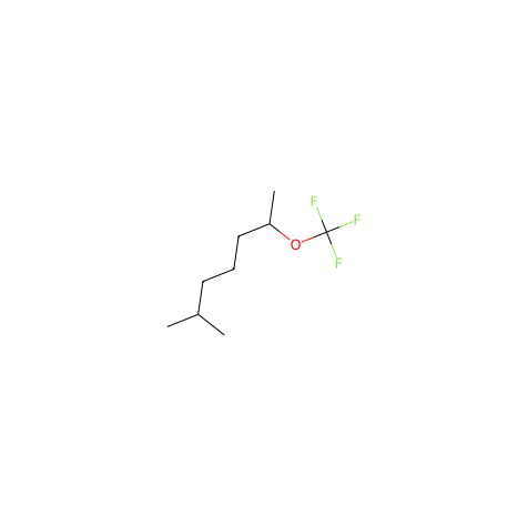 CC(C)CCCC(C)OC(F)(F)F